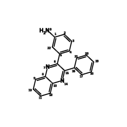 Nc1cccc(-c2nc3ccccc3nc2-c2ccccc2)c1